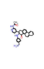 CC(=O)Nc1cc(C2=C(Nc3ccc(CN)cc3)C(=O)c3c(ccc4c3CC=C3CC=CC=C34)C2)ccn1